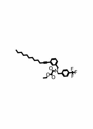 CCCCCCCCCCC#Cc1cccc(CN(Cc2ccc(C(F)(F)F)cc2)C(=O)C(=O)OCC)c1